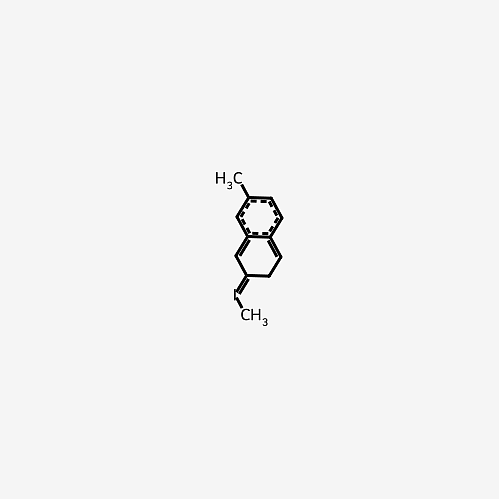 C/I=C1/C=c2cc(C)ccc2=CC1